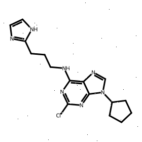 Clc1nc(NCCCc2ncc[nH]2)c2ncn(C3CCCC3)c2n1